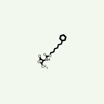 CC1OC(=O)C1NC(=O)OCCCCCCc1ccccc1